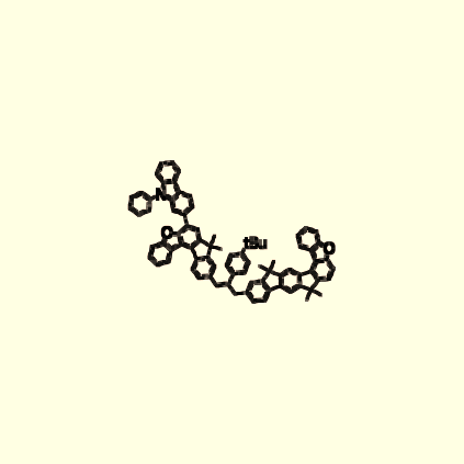 CC(C)(C)c1ccc(/C(=C\c2ccc3c(c2)C(C)(C)c2cc(-c4ccc5c6ccccc6n(-c6ccccc6)c5c4)c4oc5ccccc5c4c2-3)Cc2ccc3c(c2)C(C)(C)c2cc4c(cc2-3)C(C)(C)c2ccc3oc5ccccc5c3c2-4)cc1